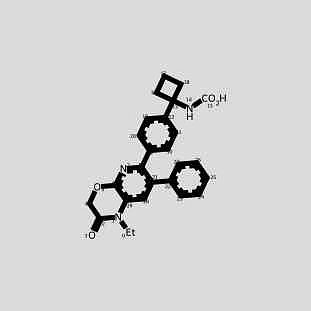 CCN1C(=O)COc2nc(-c3ccc(C4(NC(=O)O)CCC4)cc3)c(-c3ccccc3)cc21